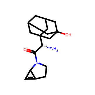 N[C@H](C(=O)N1CCC2=CC21)C12CC3CC(CC(O)(C3)C1)C2